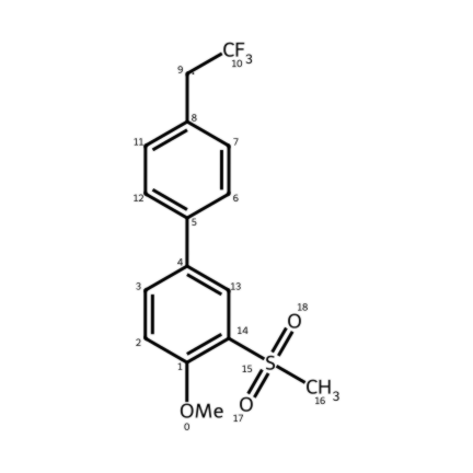 COc1ccc(-c2ccc([CH]C(F)(F)F)cc2)cc1S(C)(=O)=O